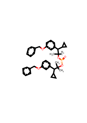 CC(C)(O[PH](=O)OC(C)(C)C(c1cccc(OCc2ccccc2)c1)C1CC1)C(c1cccc(OCc2ccccc2)c1)C1CC1